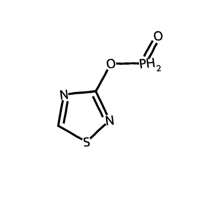 O=[PH2]Oc1ncsn1